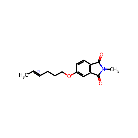 C/C=C/CCCOc1ccc2c(c1)C(=O)N(C)C2=O